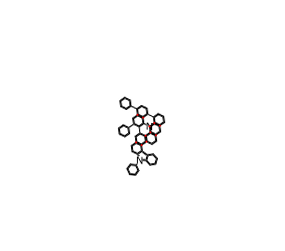 c1ccc(-c2ccc(-c3ccccc3N(c3cccc(-c4cccc5c4c4ccccc4n5-c4ccccc4)c3)c3cccc(-c4ccccc4)c3-c3ccccc3-c3ccccc3)cc2)cc1